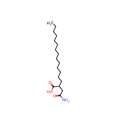 CCCCCCCCCCCCCCC(CC(N)=O)C(=O)O